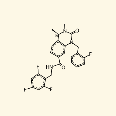 C[C@@H]1c2ccc(C(=O)NCc3c(F)cc(F)cc3F)cc2N(Cc2ccccc2F)C(=O)N1C